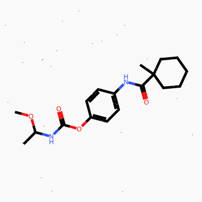 COC(C)NC(=O)Oc1ccc(NC(=O)C2(C)CCCCC2)cc1